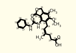 COc1c(C)c2c(c(NC(=O)Nc3ccccc3)c1CC=C(C)CCC(=O)O)C(=O)OC2